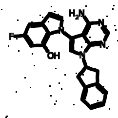 Nc1ncnc2c1c(-n1ccc3cc(F)cc(O)c31)cn2C1Cc2ccccc2C1